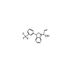 C=CC(O)N1CC(c2cccc(C(F)(F)F)c2)c2ccccc21